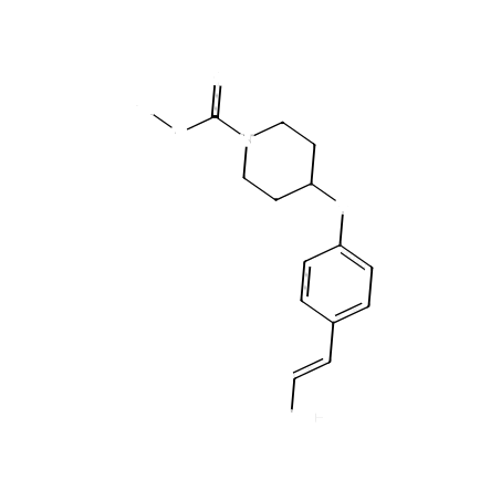 CC(C)(C)OC(=O)N1CCC(Oc2ccc(C=CC(=O)O)cc2)CC1